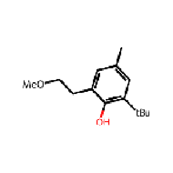 COCCc1cc(C)cc(C(C)(C)C)c1O